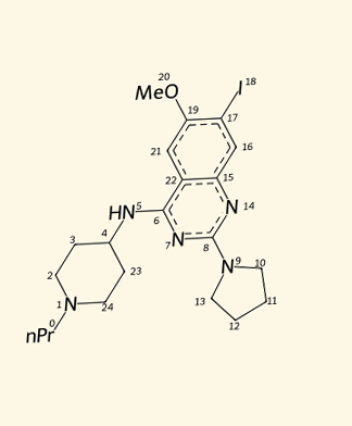 CCCN1CCC(Nc2nc(N3CCCC3)nc3cc(I)c(OC)cc23)CC1